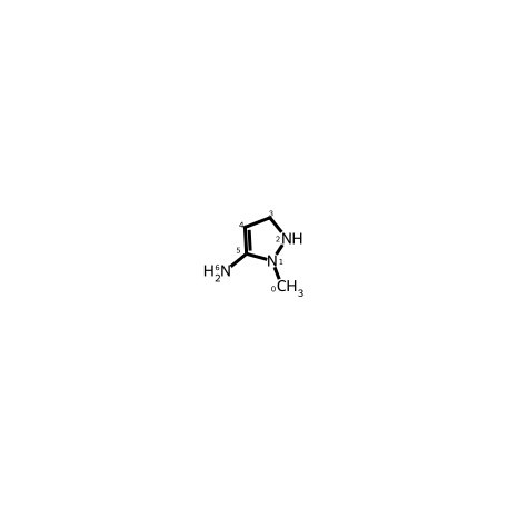 CN1NCC=C1N